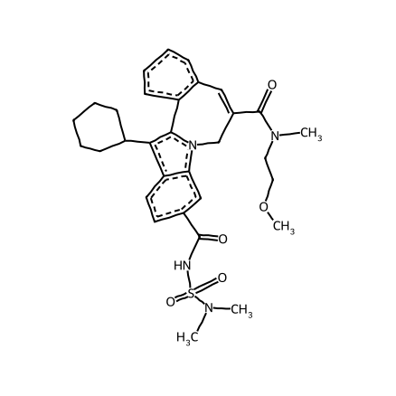 COCCN(C)C(=O)C1=Cc2ccccc2-c2c(C3CCCCC3)c3ccc(C(=O)NS(=O)(=O)N(C)C)cc3n2C1